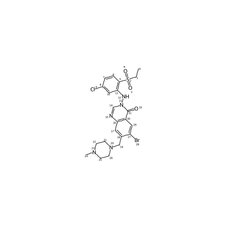 CCS(=O)(=O)c1ccc(Cl)cc1Nn1cnc2cc(CN3CCN(C)CC3)c(Br)cc2c1=O